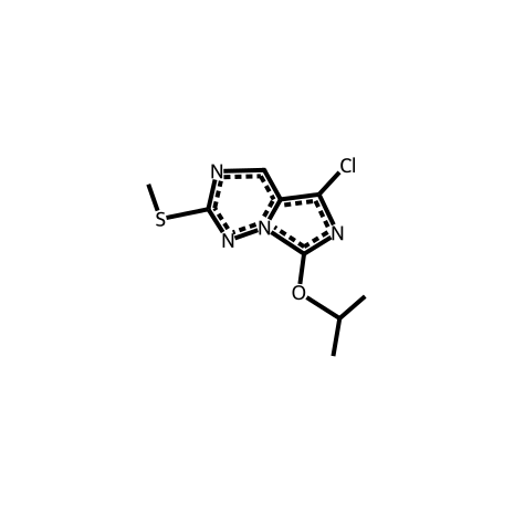 CSc1ncc2c(Cl)nc(OC(C)C)n2n1